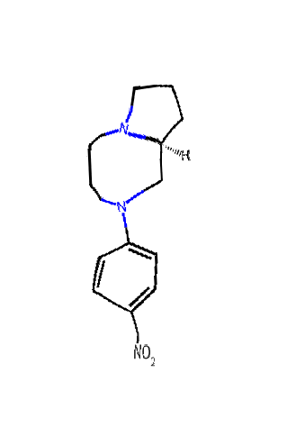 O=[N+]([O-])c1ccc(N2CCN3CCC[C@H]3C2)cc1